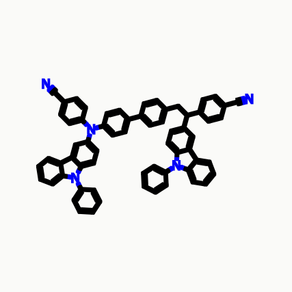 N#Cc1ccc(C(Cc2ccc(-c3ccc(N(c4ccc(C#N)cc4)c4ccc5c(c4)c4ccccc4n5-c4ccccc4)cc3)cc2)c2ccc3c(c2)c2ccccc2n3-c2ccccc2)cc1